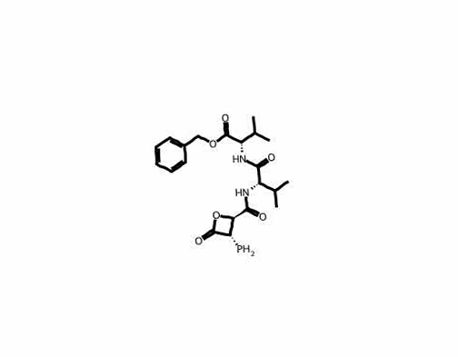 CC(C)[C@H](NC(=O)[C@@H]1OC(=O)[C@H]1P)C(=O)N[C@H](C(=O)OCc1ccccc1)C(C)C